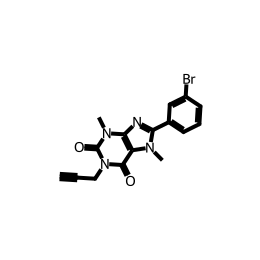 C#CCn1c(=O)c2c(nc(-c3cccc(Br)c3)n2C)n(C)c1=O